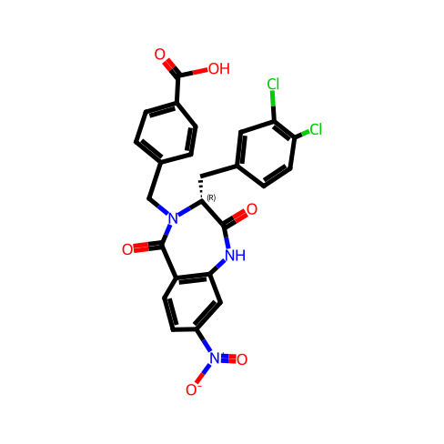 O=C(O)c1ccc(CN2C(=O)c3ccc([N+](=O)[O-])cc3NC(=O)[C@H]2Cc2ccc(Cl)c(Cl)c2)cc1